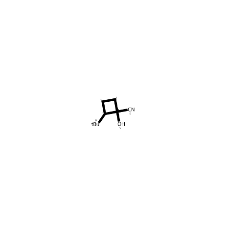 CC(C)(C)C1CCC1(O)C#N